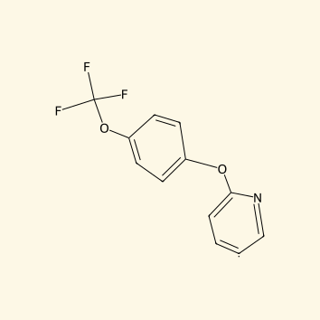 FC(F)(F)Oc1ccc(Oc2cc[c]cn2)cc1